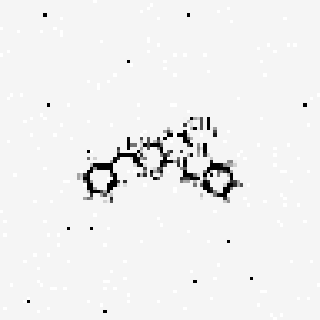 CC(C)C[C@H](NC(=O)Cc1ccccc1)C(=O)OCc1ccccc1